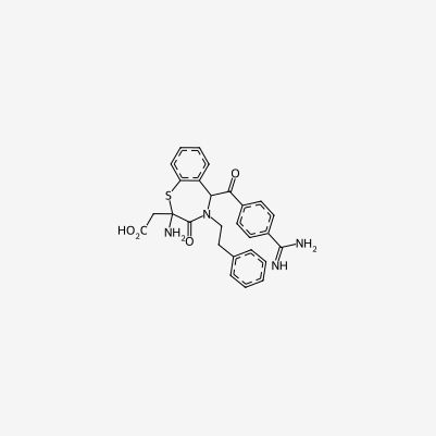 N=C(N)c1ccc(C(=O)C2c3ccccc3SC(N)(CC(=O)O)C(=O)N2CCc2ccccc2)cc1